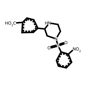 O=C(O)c1ccc(C2CN(S(=O)(=O)c3ccccc3[N+](=O)[O-])CCN2)cc1